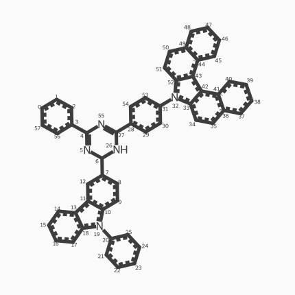 c1ccc(C2=NC(c3ccc4c(c3)c3ccccc3n4-c3ccccc3)NC(c3ccc(-n4c5ccc6ccccc6c5c5c6ccccc6ccc54)cc3)=N2)cc1